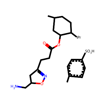 CC1CCC(C(C)C)C(OC(=O)CCC2=NOC(CN)C2)C1.Cc1ccc(S(=O)(=O)O)cc1